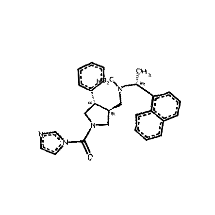 C[C@H](c1cccc2ccccc12)N(C[C@H]1CN(C(=O)n2ccnc2)C[C@@H]1c1ccccc1)C(=O)O